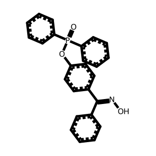 O=P(Oc1ccc(C(=NO)c2ccccc2)cc1)(c1ccccc1)c1ccccc1